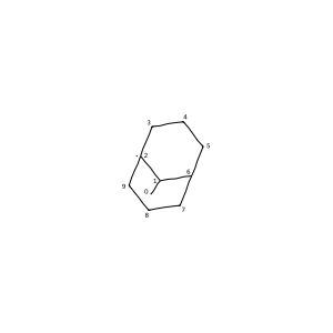 CC1[C]2CCCC1CCC2